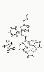 CCCC(=O)CC(O)(CCCC(C)[P+](C1CCCC1)(C1CCCC1)C1CCCC1)c1ccccc1.O=C([O-])C(F)(F)F